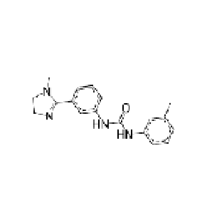 Cc1cccc(NC(=O)Nc2cccc(C3=NCCN3C)c2)c1